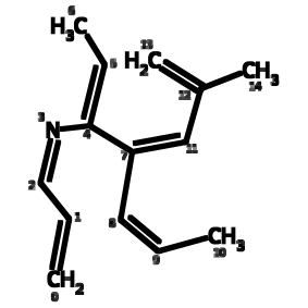 C=C\C=N/C(=C\C)C(/C=C\C)=C\C(=C)C